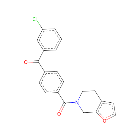 O=C(c1ccc(C(=O)N2CCc3ccoc3C2)cc1)c1cccc(Cl)c1